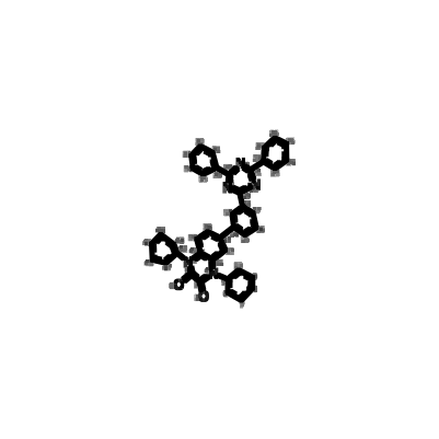 O=c1c(=O)n(-c2ccccc2)c2cc(-c3cccc(-c4nc(-c5ccccc5)nc(-c5ccccc5)n4)c3)ccc2n1-c1ccccc1